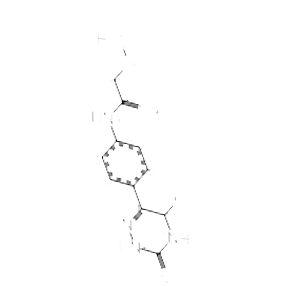 COCC(=O)Nc1ccc(C2=NNC(=O)NC2C)cc1